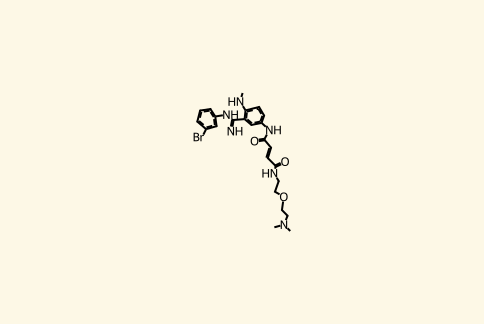 CNc1ccc(NC(=O)/C=C/C(=O)NCCOCCN(C)C)cc1C(=N)Nc1cccc(Br)c1